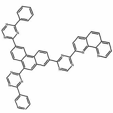 c1ccc(-c2ncnc(-c3ccc4c(-c5ncnc(-c6ccccc6)n5)cc5cc(-c6ncnc(-c7ccc8ccc9cccnc9c8n7)n6)ccc5c4c3)n2)cc1